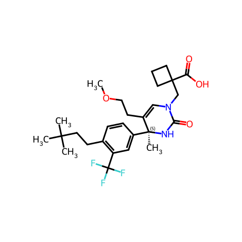 COCCC1=CN(CC2(C(=O)O)CCC2)C(=O)N[C@@]1(C)c1ccc(CCC(C)(C)C)c(C(F)(F)F)c1